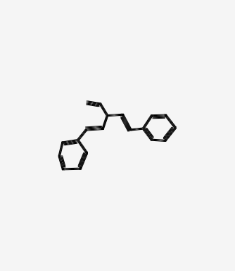 C=CC(C=Cc1ccccc1)C=Cc1ccccc1